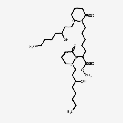 CCCCCC(O)CC[C@H]1CCCC(=O)N1CCCCCC(C(=O)OC)N1C(=O)CCC[C@@H]1CCC(O)CCCCC